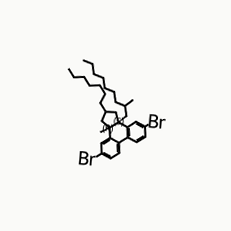 CCCCCCCC(C)C[C@]12CC(CCCCCCC)C[C@@]1(C)c1cc(Br)ccc1-c1ccc(Br)cc12